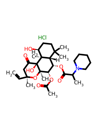 C=C[C@@]1(C)CC(=O)[C@]2(O)[C@@]3(C)[C@@H](O)CCC(C)(C)[C@@H]3[C@H](OC(=O)C(C)N3CCCCC3)[C@H](OC(C)=O)[C@@]2(C)O1.Cl